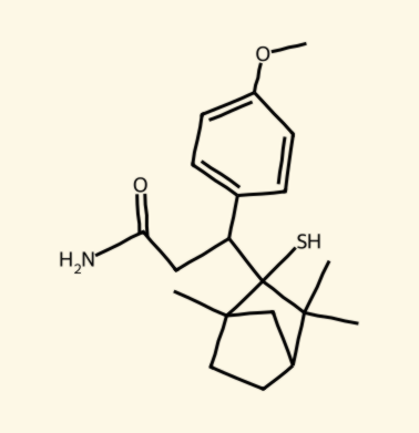 COc1ccc(C(CC(N)=O)C2(S)C3(C)CCC(C3)C2(C)C)cc1